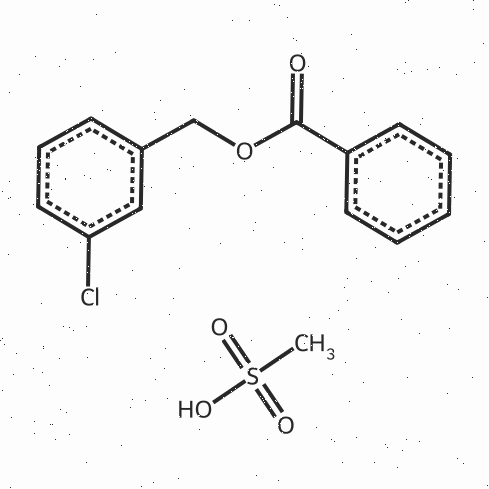 CS(=O)(=O)O.O=C(OCc1cccc(Cl)c1)c1ccccc1